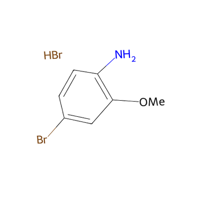 Br.COc1cc(Br)ccc1N